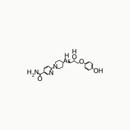 NC(=O)c1ccc(N2CCC([AsH]CC(O)COc3ccc(O)cc3)CC2)nc1